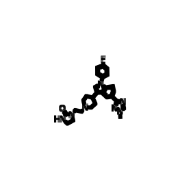 Cn1cnc(-c2ccc3c(c2)c(C2CCN(CCN4CCNC4=O)CC2)cn3-c2ccc(F)cc2)n1